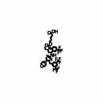 CC[C@@H]1C[C@H](Nc2ncc(N3CCOCC3)c(Cc3cc(C(F)(F)F)cc(C(F)(F)F)c3)n2)c2cc(C(F)(F)F)ccc2N1C(=O)OCCCCC(=O)O